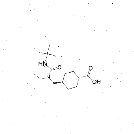 CCN(C[C@H]1CC[C@H](C(=O)O)CC1)C(=O)NC(C)(C)C